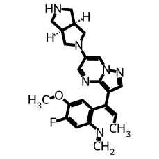 C=Nc1cc(F)c(OC)cc1/C(=C\C)c1cnn2cc(N3C[C@H]4CNC[C@H]4C3)cnc12